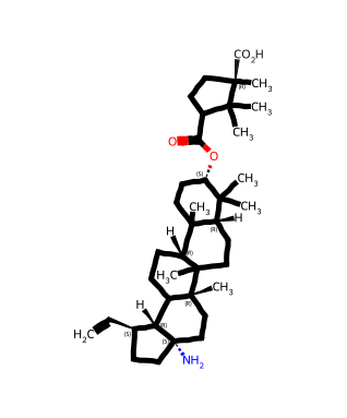 C=C[C@@H]1CC[C@]2(N)CC[C@]3(C)C(CC[C@@H]4C5(C)CC[C@H](OC(=O)C6CC[C@@](C)(C(=O)O)C6(C)C)C(C)(C)[C@@H]5CCC43C)[C@@H]12